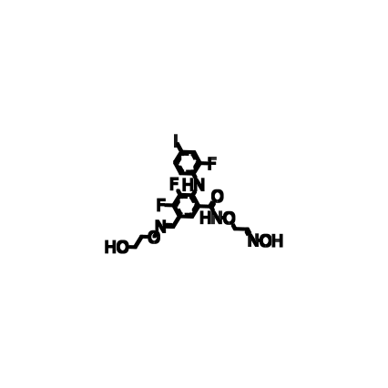 O=C(NOCC=NO)c1cc(C=NOCCO)c(F)c(F)c1Nc1ccc(I)cc1F